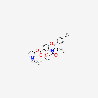 C[C@H](NC(=O)[C@H]1CCCO1)[C@H](Oc1ccc(C(=O)O[C@H]2CCCN(C(=O)O)C2)cc1)c1ccc(C2CC2)cc1